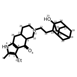 CCc1c(C)[nH]c2c1C(=O)C1CN(CCC3C4CC5CC(C4)CC3(O)C5)CCC1C2